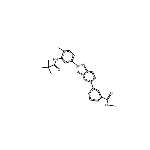 CNC(=O)c1cccc(-c2ccc3nc(-c4ccc(C)c(NC(=O)C(C)(C)C)c4)cn3n2)c1